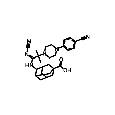 CC(C)(/C(=N\C#N)NC1C2CC3CC1CC(C(=O)O)(C3)C2)N1CCN(c2ccc(C#N)cc2)CC1